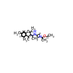 C=C(C)/C(=C(/C)NC1CN(C(=C)OCC)C1)C(C)c1ccc(C)cc1